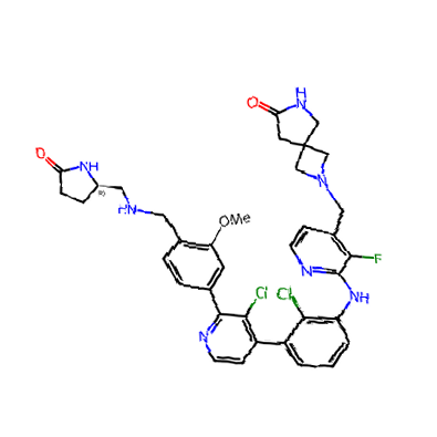 COc1cc(-c2nccc(-c3cccc(Nc4nccc(CN5CC6(CNC(=O)C6)C5)c4F)c3Cl)c2Cl)ccc1CNC[C@H]1CCC(=O)N1